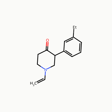 C=CN1CCC(=O)C(c2cccc(CC)c2)C1